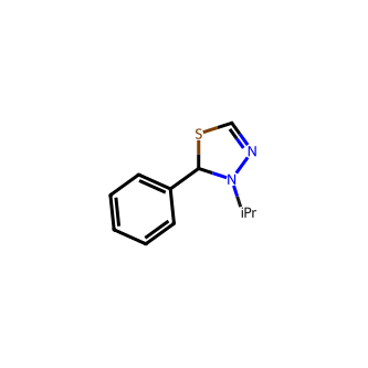 CC(C)N1N=CSC1c1ccccc1